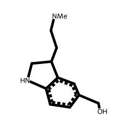 CNCCC1CNc2ccc(CO)cc21